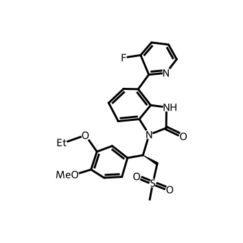 CCOc1cc([C@H](CS(C)(=O)=O)n2c(=O)[nH]c3c(-c4ncccc4F)cccc32)ccc1OC